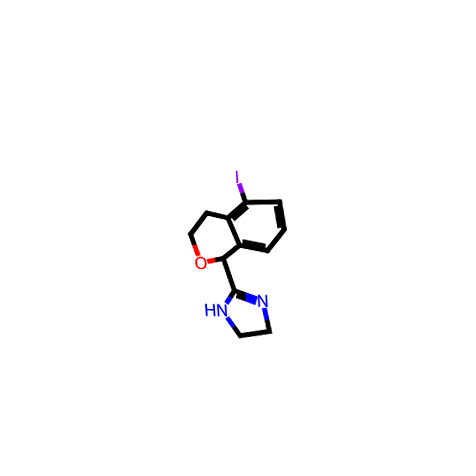 Ic1cccc2c1CCOC2C1=NCCN1